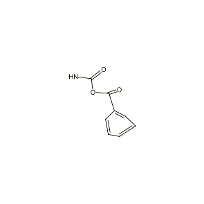 [NH]C(=O)OC(=O)c1ccccc1